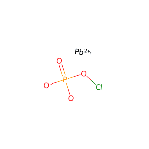 O=P([O-])([O-])OCl.[Pb+2]